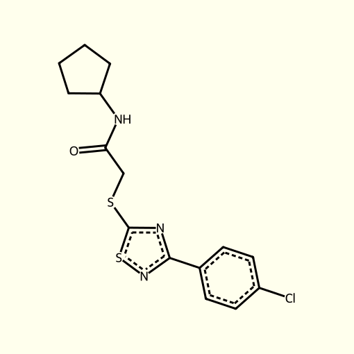 O=C(CSc1nc(-c2ccc(Cl)cc2)ns1)NC1CCCC1